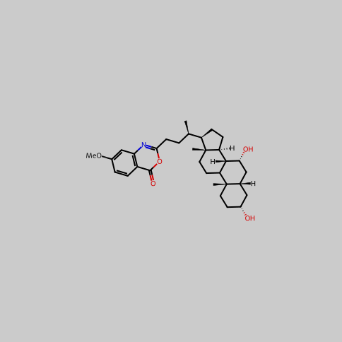 COc1ccc2c(=O)oc(CC[C@@H](C)[C@H]3CC[C@H]4[C@H]5C(CC[C@]34C)[C@@]3(C)CC[C@@H](O)C[C@H]3C[C@H]5O)nc2c1